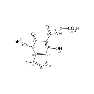 CCCOn1c(=O)c(C(=O)NCC(=O)O)c(O)c2scc(C)c21